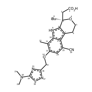 CCC(C)[C@]1(CC(=O)O)OCCc2c1[nH]c1c(C)c(OCc3nsc(N(C)C)n3)cc(C#N)c21